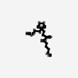 O=PCCCNC(=O)CCC1(CCC(=O)O)OCCO1